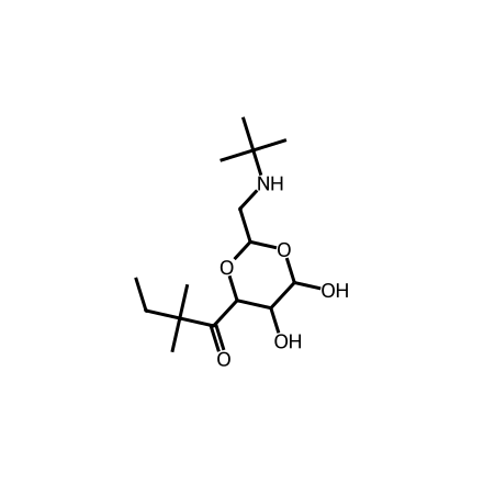 CCC(C)(C)C(=O)C1OC(CNC(C)(C)C)OC(O)C1O